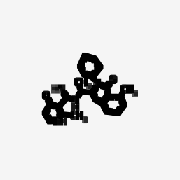 Cc1[nH]ccc(=O)c1C(=N)NC(C)c1cc2cccc(C)c2c(=O)n1-c1ccccc1